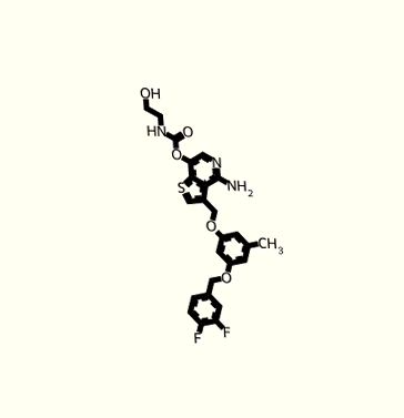 Cc1cc(OCc2ccc(F)c(F)c2)cc(OCc2csc3c(OC(=O)NCCO)cnc(N)c23)c1